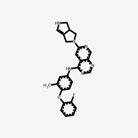 Cc1cc(Nc2ncnc3cnc(N4CC5=CNCC5C4)cc23)ccc1Oc1ccccc1F